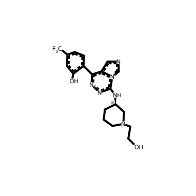 OCCN1CCC[C@@H](Nc2nnc(-c3ccc(C(F)(F)F)cc3O)c3cncn23)C1